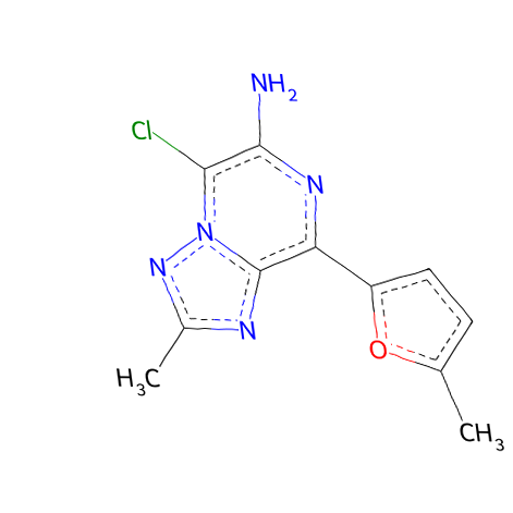 Cc1nc2c(-c3ccc(C)o3)nc(N)c(Cl)n2n1